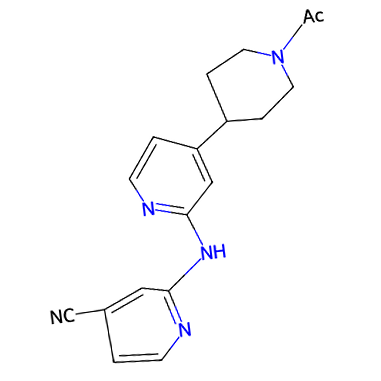 CC(=O)N1CCC(c2ccnc(Nc3cc(C#N)ccn3)c2)CC1